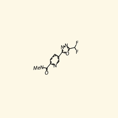 CNC(=O)c1ccc(-c2nnc(C(F)F)o2)cn1